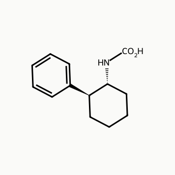 O=C(O)N[C@@H]1CCCC[C@H]1c1ccccc1